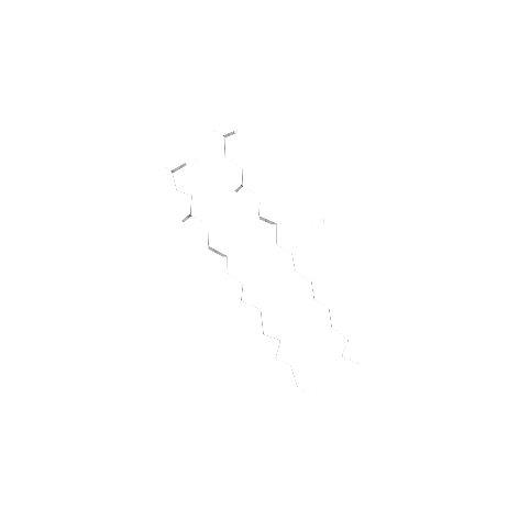 CCCCCCCCCCC=COC(=O)CCC(=O)[O-].CCCCCCCCCCC=COC(=O)CCC(=O)[O-].[Zn+2]